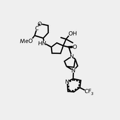 COC1COCCC1NC1CCC(C(=O)N2CC3CC2CN3c2cc(C(F)(F)F)ccn2)(C(C)(C)O)C1